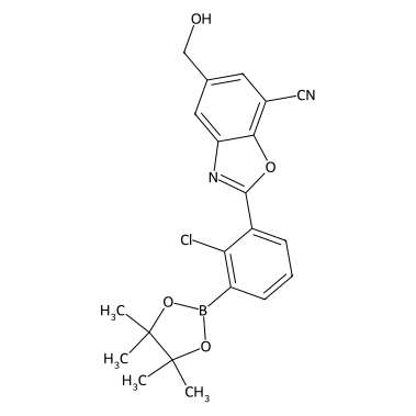 CC1(C)OB(c2cccc(-c3nc4cc(CO)cc(C#N)c4o3)c2Cl)OC1(C)C